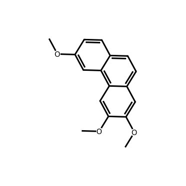 COc1ccc2ccc3cc(OC)c(OC)cc3c2c1